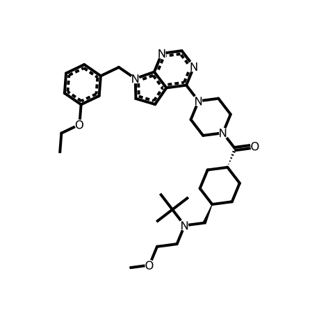 CCOc1cccc(Cn2ccc3c(N4CCN(C(=O)[C@H]5CC[C@H](CN(CCOC)C(C)(C)C)CC5)CC4)ncnc32)c1